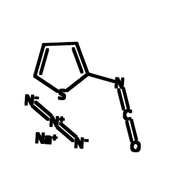 O=C=Nc1cccs1.[N-]=[N+]=[N-].[Na+]